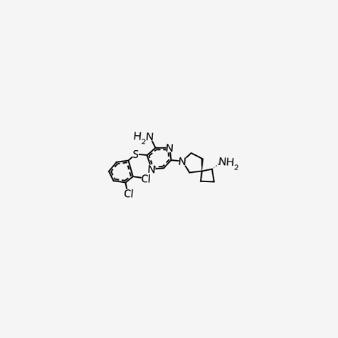 Nc1nc(N2CC[C@@]3(CC[C@H]3N)C2)cnc1Sc1cccc(Cl)c1Cl